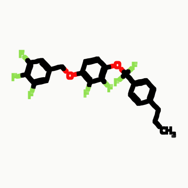 CCCc1ccc(C(F)(F)Oc2ccc(OCc3cc(F)c(F)c(F)c3)c(F)c2F)cc1